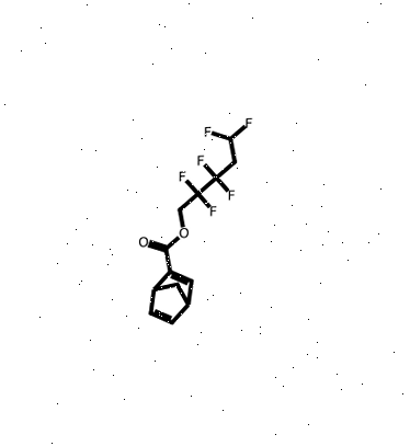 O=C(OCC(F)(F)C(F)(F)CC(F)F)C1=CC2C=CC1C2